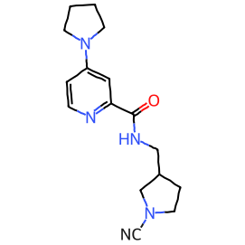 N#CN1CCC(CNC(=O)c2cc(N3CCCC3)ccn2)C1